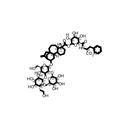 C=C1CC23CCC[C@H]4[C@@](C)(CCC[C@@]4(C)C(=O)OC4O[C@H](C(=O)N[C@H](Cc5ccccc5)C(=O)O)[C@@H](O)[C@H](O)[C@H]4O)[C@@H]2CC(O[C@@H]2O[C@H](CO)[C@@H](O)C(O[C@@H]4O[C@H](CCO)[C@@H](O)[C@H](O)[C@H]4O)[C@H]2O[C@@H]2O[C@H](CO)[C@@H](O)[C@H](O)[C@H]2O)C1C3